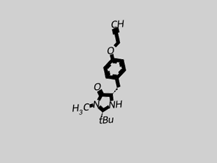 C#CCOc1ccc(C[C@@H]2N[C@H](C(C)(C)C)N(C)C2=O)cc1